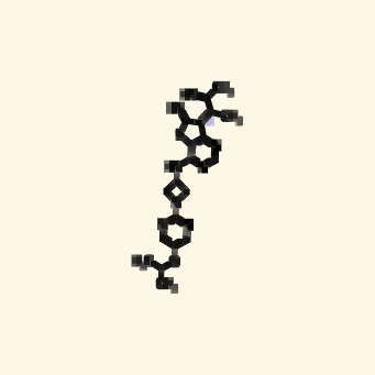 CC(=N)/C(C)=C1\C(=N)Sc2c(NC3CN(c4ncc(OC(C)C)cn4)C3)ncnc21